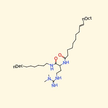 CCCCCCCC/C=C/CCCCCCCC(=O)NC(CCNC(=N)N(C)C)C(=O)NCCCCCCCCCCCCCCCC